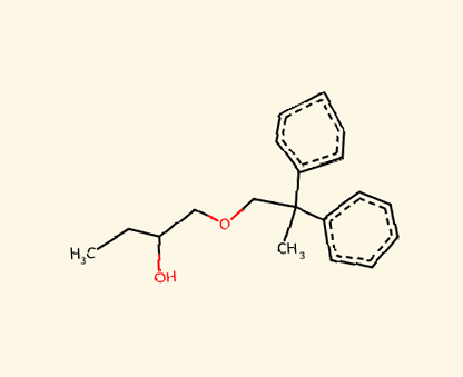 CCC(O)COCC(C)(c1ccccc1)c1ccccc1